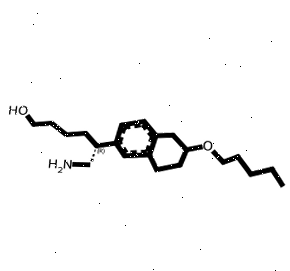 CCCCCOC1CCc2cc([C@H](CN)CCCCO)ccc2C1